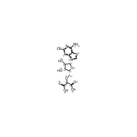 Nc1nc(Cl)nc2c1ncn2[C@@H]1O[C@H](COC(C(=O)O)C(=O)O)[C@H](O)[C@H]1O